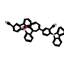 N#CC1=C(c2ccccc2-n2c3ccccc3c3cc(C#N)ccc32)CC(c2ccc(-n3c4ccccc4c4ccccc43)c(C#N)c2)=CC=C1